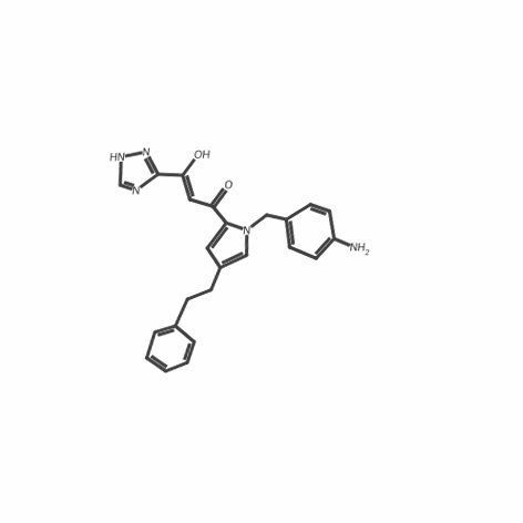 Nc1ccc(Cn2cc(CCc3ccccc3)cc2C(=O)C=C(O)c2nc[nH]n2)cc1